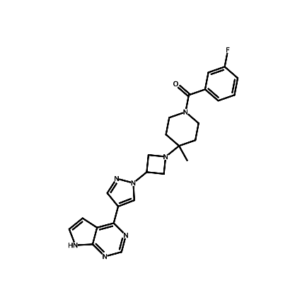 CC1(N2CC(n3cc(-c4ncnc5[nH]ccc45)cn3)C2)CCN(C(=O)c2cccc(F)c2)CC1